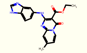 CCOC(=O)c1c(Nc2ccc3[nH]cnc3c2)nc2cc(C)ccn2c1=O